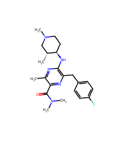 Cc1nc(N[C@@H]2CCN(C)C[C@H]2C)c(Cc2ccc(F)cc2)nc1C(=O)N(C)C